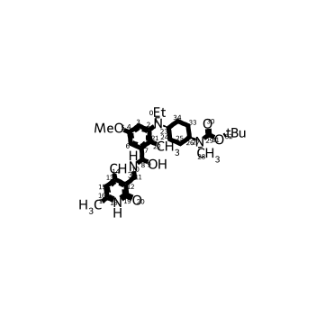 CCN(c1cc(OC)cc(C(O)NCc2c(C)cc(C)[nH]c2=O)c1C)[C@H]1CC[C@H](N(C)C(=O)OC(C)(C)C)CC1